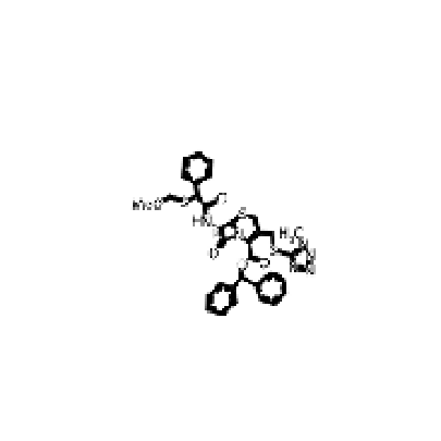 COCSC(C(=O)N[C@H]1C(=O)N2C(C(=O)OC(c3ccccc3)c3ccccc3)=C(CSc3nnnn3C)CSC12)c1ccccc1